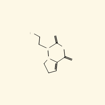 CC(C)CCN1C(=O)OC(=O)C2=CCCN21